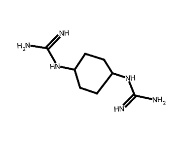 N=C(N)NC1CCC(NC(=N)N)CC1